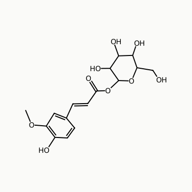 COc1cc(/C=C/C(=O)OC2OC(CO)C(O)C(O)C2O)ccc1O